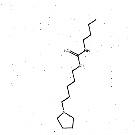 CCCCNC(=N)NCCCCCN1CCCC1